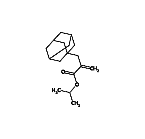 C=C(CC12CC3CC(CC(C3)C1)C2)C(=O)OC(C)C